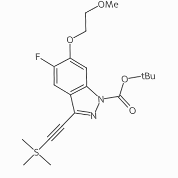 COCCOc1cc2c(cc1F)c(C#CS(C)(C)C)nn2C(=O)OC(C)(C)C